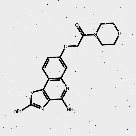 CCCc1nc2c(N)nc3cc(OCC(=O)N4CCOCC4)ccc3c2s1